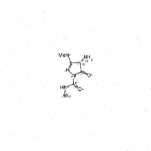 CNc1nn(C(=O)NC(C)(C)C)c(=O)n1N